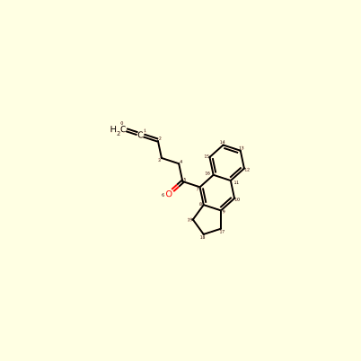 C=C=CCCC(=O)c1c2c(cc3ccccc13)CCC2